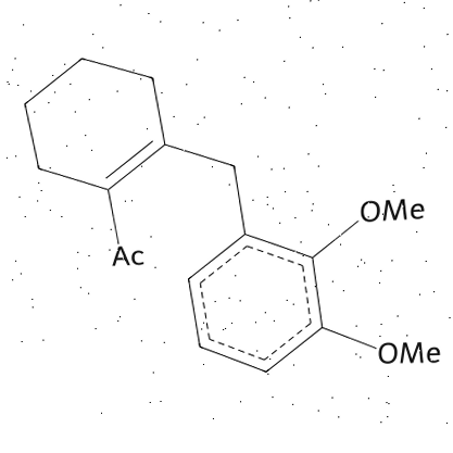 COc1cccc(CC2=C(C(C)=O)CCCC2)c1OC